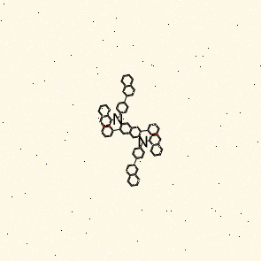 c1ccc(-c2cc3cc(N(c4ccc(-c5ccc6ccccc6c5)cc4)c4cccc5ccccc45)c(-c4ccccc4)cc3cc2N(c2ccc(-c3ccc4ccccc4c3)cc2)c2cccc3ccccc23)cc1